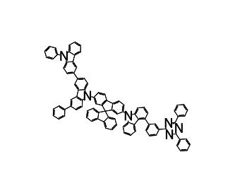 c1ccc(-c2ccc3c(c2)c2cc(-c4ccc5c(c4)c4ccccc4n5-c4ccccc4)ccc2n3-c2ccc3c(c2)C2(c4ccccc4-c4ccccc42)c2cc(-n4c5ccccc5c5c(-c6cccc(-c7nc(-c8ccccc8)nc(-c8ccccc8)n7)c6)cccc54)ccc2-3)cc1